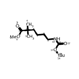 COC(=O)C(C)(C)CCCCNC(=O)OC(C)(C)C